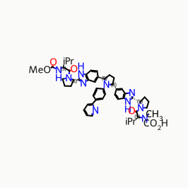 COC(=O)N[C@H](C(=O)N1CCC[C@H]1c1nc2cc([C@H]3CC[C@H](c4ccc5[nH]c([C@@H]6CCCN6C(=O)[C@H](C(C)C)N(C)C(=O)O)nc5c4)N3c3ccc(-c4ccccn4)cc3)ccc2[nH]1)C(C)C